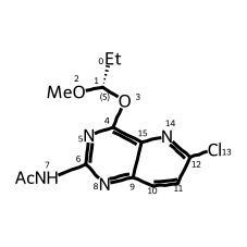 CC[C@@H](OC)Oc1nc(NC(C)=O)nc2ccc(Cl)nc12